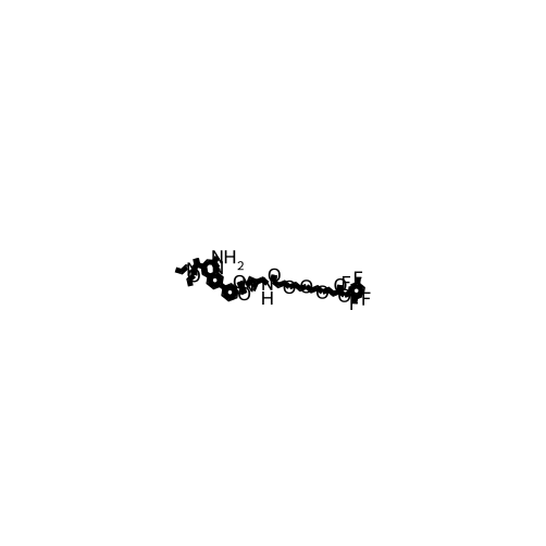 C=C(C1=Cc2ccc(-c3cccc(S(=O)(=O)N4CC(CNC(=O)CCOCCOCCOCCC(=O)Oc5c(F)c(F)cc(F)c5F)C4)c3)cc2N=C(N)C1)N(CCC)OCC